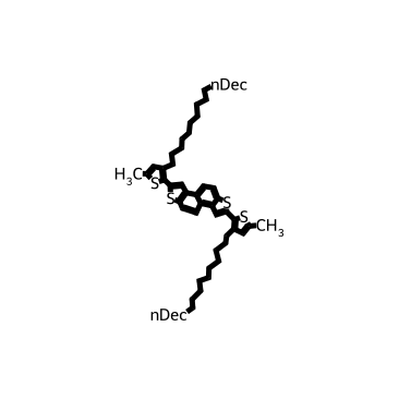 CCCCCCCCCCCCCCCCCCCCc1cc(C)sc1-c1cc2c(ccc3c4cc(-c5sc(C)cc5CCCCCCCCCCCCCCCCCCCC)sc4ccc23)s1